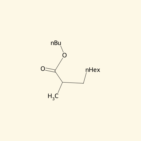 CCCCCCCC(C)C(=O)OCCCC